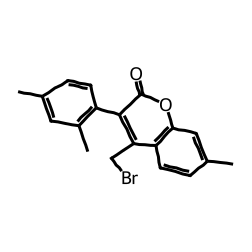 Cc1ccc(-c2c(CBr)c3ccc(C)cc3oc2=O)c(C)c1